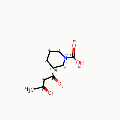 CC(=O)CC(=O)[C@@H]1CCCN(C(=O)O)C1